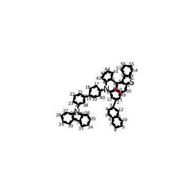 c1cc(-c2ccc3ccccc3c2)cc(N(c2ccc(-c3cccc(-n4c5ccccc5c5ccccc54)c3)cc2)c2ccccc2-c2cccc3sc4ccccc4c23)c1